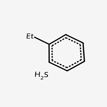 CCc1ccccc1.S